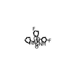 O=C(NS(=O)(=O)Nc1cc(F)ccc1Oc1ccc(F)cc1)c1ccccc1